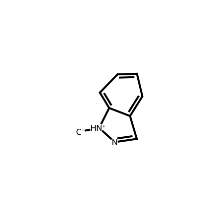 [CH2-][NH+]1N=Cc2ccccc21